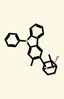 Cc1cc2c(cc1N1C3CCC(CC3)[C@@H]1C)c1ccccc1n2-c1ccccc1